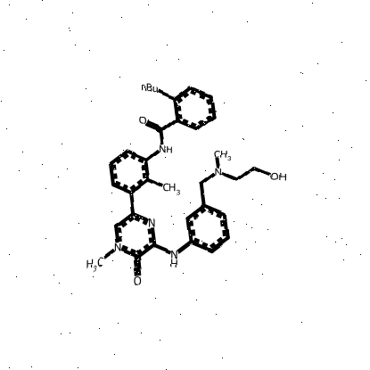 CCCCc1ccccc1C(=O)Nc1cccc(-c2cn(C)c(=O)c(Nc3cccc(CN(C)CCO)c3)n2)c1C